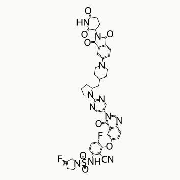 N#Cc1c(NS(=O)(=O)N2CC[C@@H](F)C2)ccc(F)c1Oc1ccc2ncn(-c3cnc(N4CCCC4CC4CCN(c5ccc6c(c5)C(=O)N(C5CCC(=O)NC5=O)C6=O)CC4)nc3)c(=O)c2c1